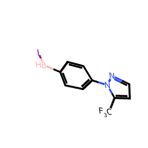 FC(F)(F)c1ccnn1-c1ccc(BI)cc1